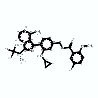 COc1ccc(F)cc1C(=O)NCc1ccc(-c2nc([C@H](C)C(F)(F)F)n3ncnc(N)c23)c(OC2CC2)c1